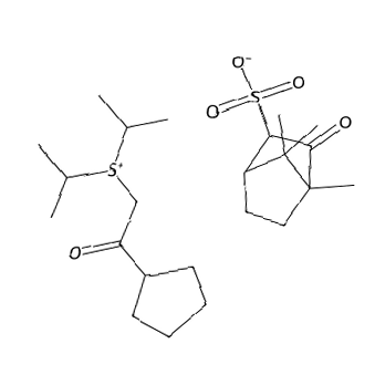 CC(C)[S+](CC(=O)C1CCCC1)C(C)C.CC12CCC(C(S(=O)(=O)[O-])C1=O)C2(C)C